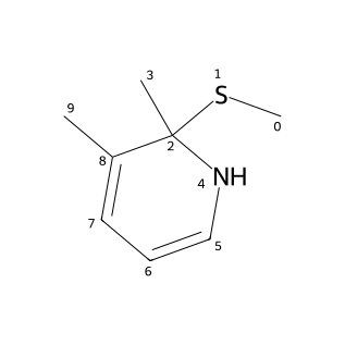 CSC1(C)NC=CC=C1C